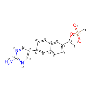 CC(OS(C)(=O)=O)c1ccc2cc(-c3cnc(N)nc3)ccc2c1